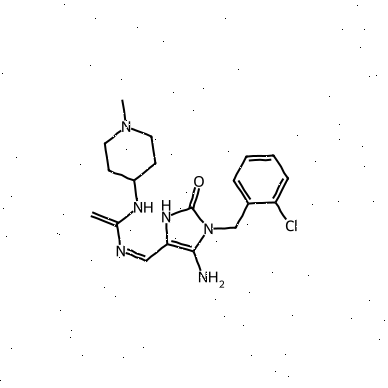 C=C(/N=C\c1[nH]c(=O)n(Cc2ccccc2Cl)c1N)NC1CCN(C)CC1